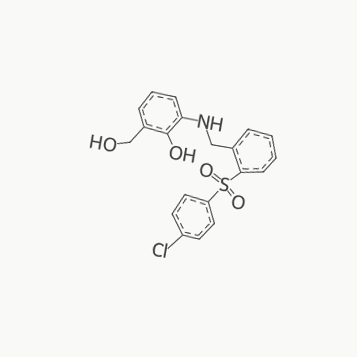 O=S(=O)(c1ccc(Cl)cc1)c1ccccc1CNc1cccc(CO)c1O